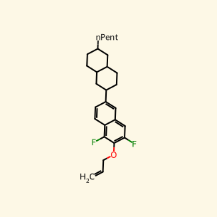 C=CCOc1c(F)cc2cc(C3CCC4CC(CCCCC)CCC4C3)ccc2c1F